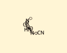 N#Cc1ccc(CN2CCC(NC(=O)c3ccc(C(=O)N4CCN(CC5CCCCC5)CC4)cn3)CC2)cc1